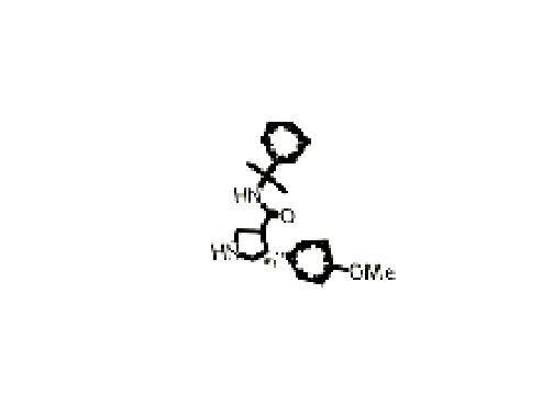 COc1ccc([C@@H]2CNCC2C(=O)NC(C)(C)c2ccccc2)cc1